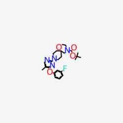 Cc1cnc(N2CCC3(CC2)CN(C(=O)OC(C)(C)C)CCO3)nc1Oc1cccc(F)c1